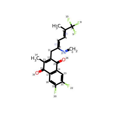 C=N/C(=C\C=C(/C)C(F)(F)F)CC1=C(C)C(=O)c2cc(F)c(F)cc2C1=O